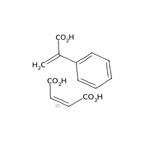 C=C(C(=O)O)c1ccccc1.O=C(O)/C=C\C(=O)O